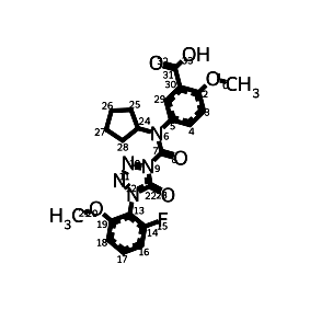 COc1ccc(N(C(=O)n2nnn(-c3c(F)cccc3OC)c2=O)C2CCCC2)cc1C(=O)O